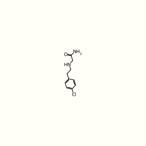 NC(=O)CNCCc1ccc(Cl)cc1